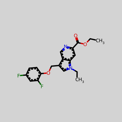 CCOC(=O)c1cc2c(cn1)c(COc1ccc(F)cc1F)cn2CC